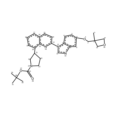 CC1(COc2ccc3c(c2)ncn3-c2ccc3cccc(C4CCN(C(=O)OC(C)(C)C)C4)c3n2)COC1